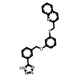 c1cc(OCc2cccc(-c3nnn[nH]3)c2)cc(SCc2ccc3ccccc3n2)c1